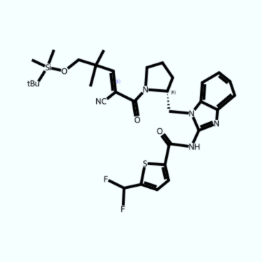 CC(C)(/C=C(\C#N)C(=O)N1CCC[C@@H]1Cn1c(NC(=O)c2ccc(C(F)F)s2)nc2ccccc21)CO[Si](C)(C)C(C)(C)C